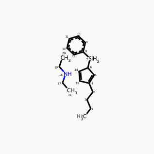 CCCCC1=C[C]([SiH2]c2ccccc2)C=C1.CCNCC